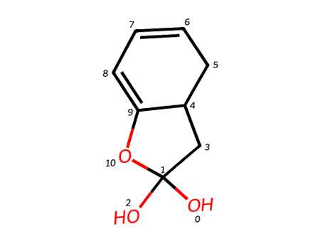 OC1(O)CC2CC=CC=C2O1